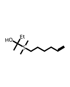 C=CCCCCS(C)(C)C(C)(O)CC